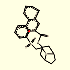 CC(C)n1c(=O)c(C(=O)OC2CC3CCC(C2)N3CCS(=O)(=O)c2ccccc2)cc2ccccc21